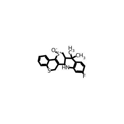 CC1(C)c2ccc(F)cc2NC2C3=C(c4ccccc4SC3)[S+]([O-])CC21